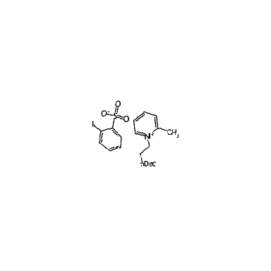 CCCCCCCCCCCC[n+]1ccccc1C.O=S(=O)([O-])c1ccccc1I